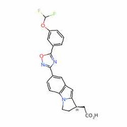 O=C(O)C[C@H]1CCn2c1cc1cc(-c3noc(-c4cccc(OC(F)F)c4)n3)ccc12